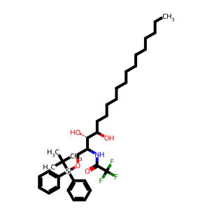 CCCCCCCCCCCCCCC(O)[C@@H](O)C(CO[Si](c1ccccc1)(c1ccccc1)C(C)(C)C)NC(=O)C(F)(F)F